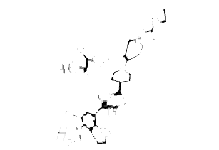 CCOC(=O)ON1CCC(N2CCC(c3nnc(-c4cc(Cl)c(N)c5c4OCC5)o3)CC2)CC1.O=C(O)C(=O)O